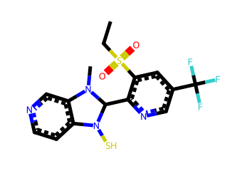 CCS(=O)(=O)c1cc(C(F)(F)F)cnc1C1N(C)c2cnccc2N1S